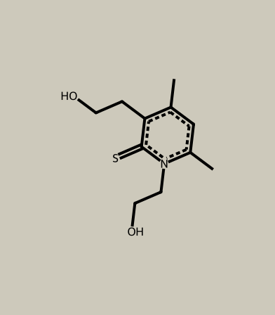 Cc1cc(C)n(CCO)c(=S)c1CCO